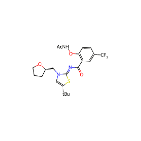 CC(=O)NOc1ccc(C(F)(F)F)cc1C(=O)N=c1sc(C(C)(C)C)cn1C[C@H]1CCCO1